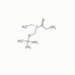 CCC(=O)[C@@H](CC)COC(C)(C)C